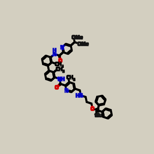 COC(OC)c1ccc(C(=O)Nc2cccc(-c3cccc(NC(=O)c4ncc(CNCCCO[Si](c5ccccc5)(c5ccccc5)C(C)(C)C)cc4C)c3C)c2C)nc1